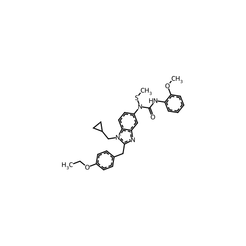 CCOc1ccc(Cc2nc3cc(N(SC)C(=O)Nc4ccccc4OC)ccc3n2CC2CC2)cc1